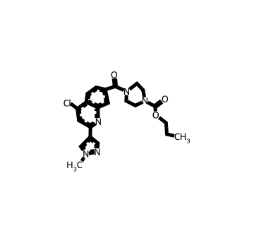 CCCOC(=O)N1CCN(C(=O)c2ccc3c(Cl)cc(-c4cnn(C)c4)nc3c2)CC1